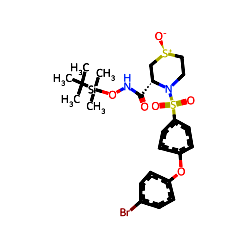 CC(C)(C)[Si](C)(C)ONC(=O)[C@@H]1C[S@@+]([O-])CCN1S(=O)(=O)c1ccc(Oc2ccc(Br)cc2)cc1